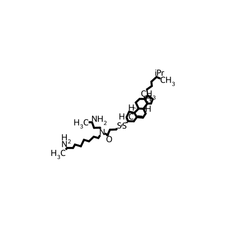 CC(N)CCCCCCCN(CCC(C)N)C(=O)CCSS[C@H]1CC[C@@]2(C)C(=CC[C@H]3[C@@H]4CC[C@H](CCC[C@@H](C)C(C)C)[C@@]4(C)CC[C@@H]32)C1